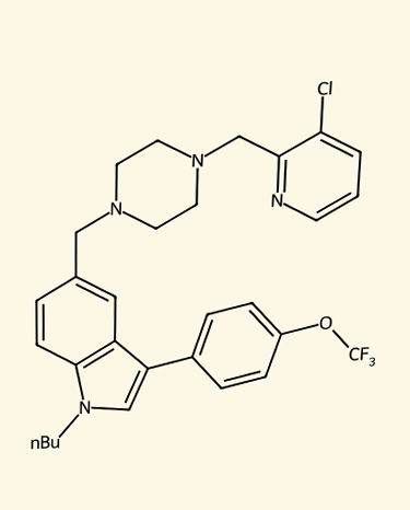 CCCCn1cc(-c2ccc(OC(F)(F)F)cc2)c2cc(CN3CCN(Cc4ncccc4Cl)CC3)ccc21